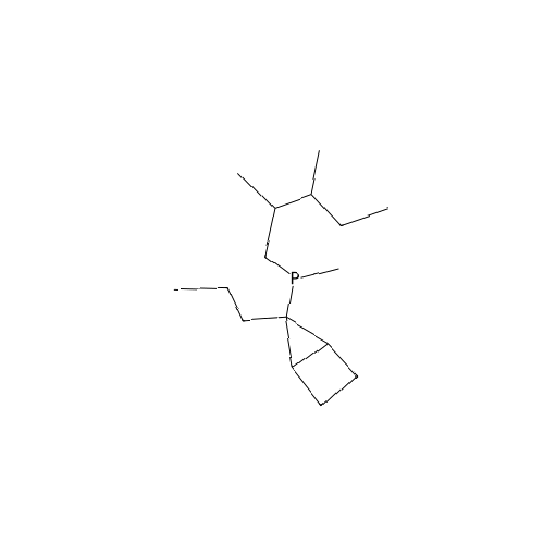 CCCC1(P(C)CC(C)C(C)CC)C2CCC21